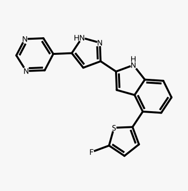 Fc1ccc(-c2cccc3[nH]c(-c4cc(-c5cncnc5)[nH]n4)cc23)s1